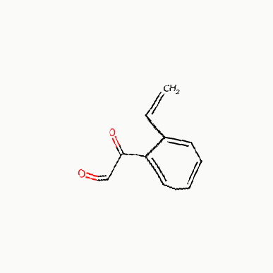 C=Cc1ccccc1C(=O)C=O